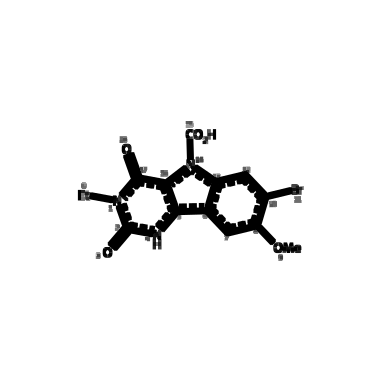 CCn1c(=O)[nH]c2c3cc(OC)c(Br)cc3n(C(=O)O)c2c1=O